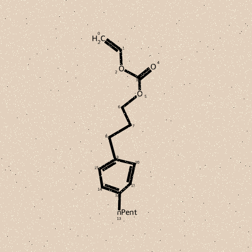 C=COC(=O)OCCCc1ccc(CCCCC)cc1